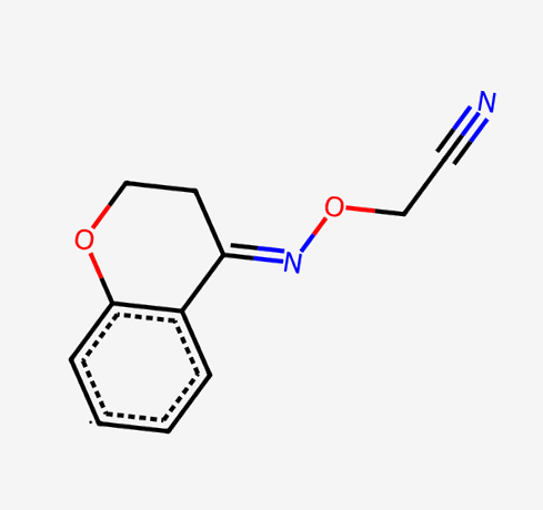 N#CCO/N=C1\CCOc2c[c]ccc21